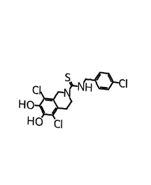 Oc1c(O)c(Cl)c2c(c1Cl)CCN(C(=S)NCc1ccc(Cl)cc1)C2